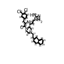 C[C@@H]1CN(C(=O)[C@H](N)Cc2ccc(Cl)c(Cl)c2)[C@@H](CCCNC(=N)N)CN1CCc1ccc2ccccc2c1